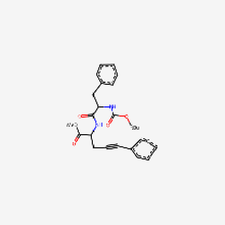 COC(=O)C(CC#Cc1ccccc1)NC(=O)C(Cc1ccccc1)NC(=O)OC(C)(C)C